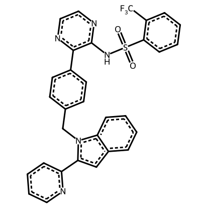 O=S(=O)(Nc1nccnc1-c1ccc(Cn2c(-c3ccccn3)cc3ccccc32)cc1)c1ccccc1C(F)(F)F